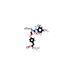 CCCCCN(CCOc1ccc(CC(OCC)C(=O)O)cc1)C(=O)Nc1c(C)cc(C)cc1C